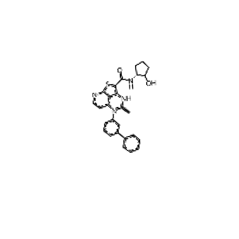 C=c1[nH]c2c(C(=O)N[C@@H]3CCCC3O)sc3nccc(c32)n1-c1cccc(-c2ccccc2)c1